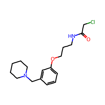 O=C(CCl)NCCCOc1cccc(CN2CCCCC2)c1